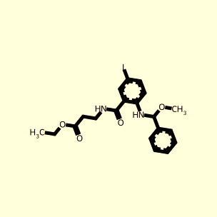 CCOC(=O)CCNC(=O)c1cc(I)ccc1NC(OC)c1ccccc1